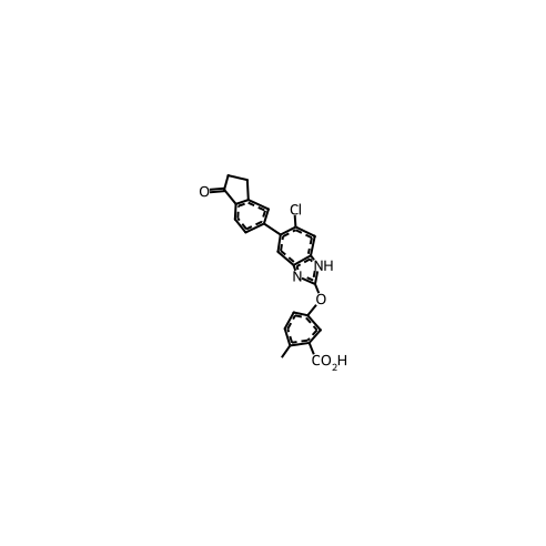 Cc1ccc(Oc2nc3cc(-c4ccc5c(c4)CCC5=O)c(Cl)cc3[nH]2)cc1C(=O)O